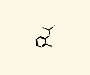 Nc1ncccc1SC(F)F